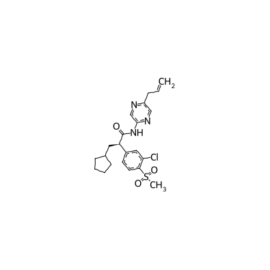 C=CCc1cnc(NC(=O)[C@H](CC2CCCC2)c2ccc(S(C)(=O)=O)c(Cl)c2)cn1